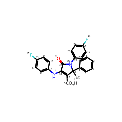 CCC1(c2ccccc2)C(C(=O)O)=C(Nc2ccc(F)cc2)C(=O)N1c1ccc(F)cc1